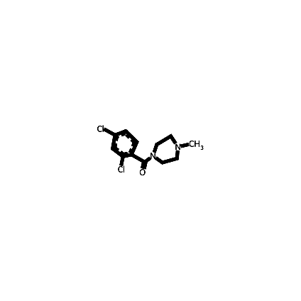 CN1CCN(C(=O)c2ccc(Cl)cc2Cl)CC1